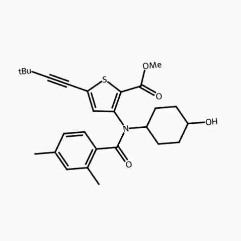 COC(=O)c1sc(C#CC(C)(C)C)cc1N(C(=O)c1ccc(C)cc1C)C1CCC(O)CC1